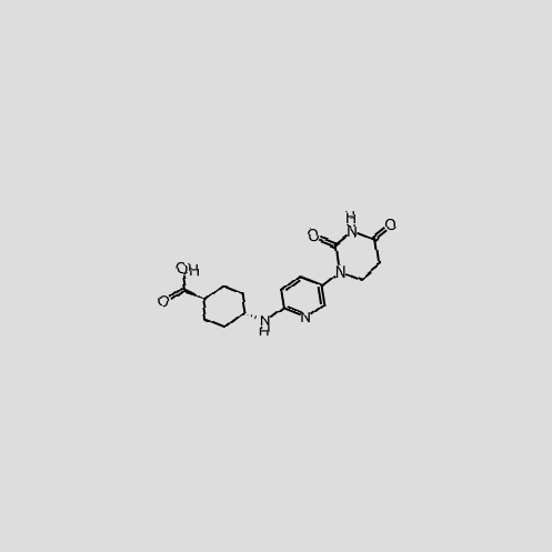 O=C1CCN(c2ccc(N[C@H]3CC[C@H](C(=O)O)CC3)nc2)C(=O)N1